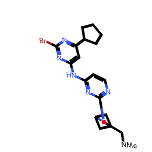 CNCC12CC(C1)N(c1nccc(Nc3cc(C4CCCC4)nc(Br)n3)n1)C2